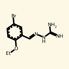 CCOc1ccc(Br)cc1C=NNC(=N)N